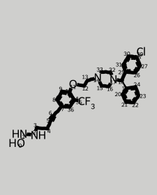 ONNCCC#Cc1ccc(OCCN2CCN([C@H](c3ccccc3)c3ccc(Cl)cc3)CC2)c(C(F)(F)F)c1